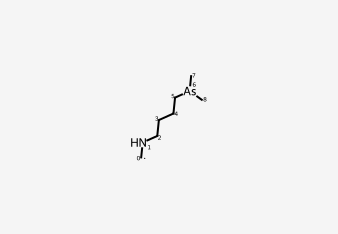 [CH2]NCCCC[As](C)C